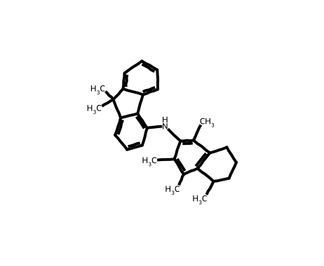 Cc1c(C)c2c(c(C)c1Nc1cccc3c1-c1ccccc1C3(C)C)CCCC2C